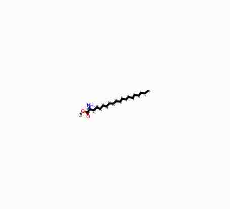 CCCCCCCCCCCCCCCCCCC(N)C(=O)OC